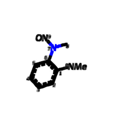 CNc1ccccc1N(C)N=O